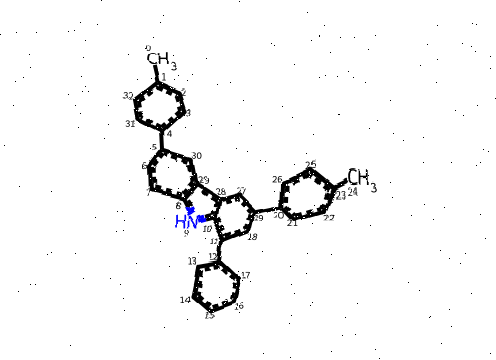 Cc1ccc(-c2ccc3[nH]c4c(-c5ccccc5)cc(-c5ccc(C)cc5)cc4c3c2)cc1